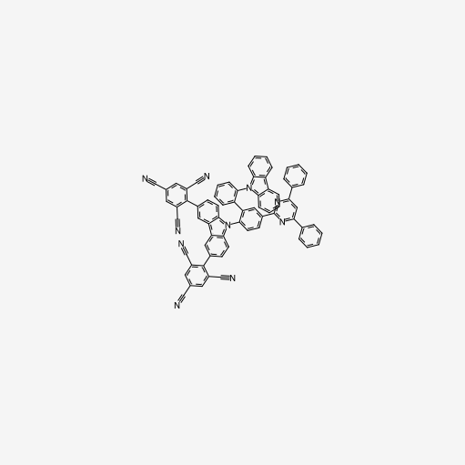 N#Cc1cc(C#N)c(-c2ccc3c(c2)c2cc(-c4c(C#N)cc(C#N)cc4C#N)ccc2n3-c2ccc(-c3nc(-c4ccccc4)cc(-c4ccccc4)n3)cc2-c2ccccc2-n2c3ccccc3c3ccccc32)c(C#N)c1